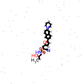 CCC(O)CNS(=O)(=O)/C(C#N)=C/c1ccc(-c2ccc3cc(N4CCCCC4)ccc3c2)o1